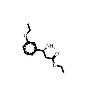 CCOC(=O)C[C@H](N)c1cccc(OCC)c1